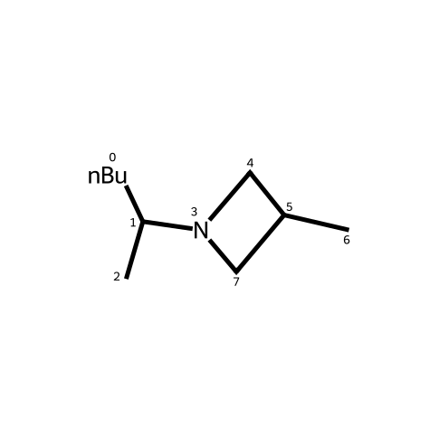 CCCCC(C)N1CC(C)C1